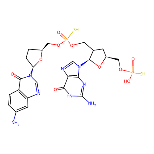 Nc1ccc2c(=O)n([C@H]3CC[C@@H](COP(=O)(S)OCC4C[C@@H](COP(=O)(O)S)O[C@H]4n4cnc5c(=O)[nH]c(N)nc54)O3)cnc2c1